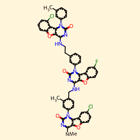 CNc1nc(=O)n(-c2ccc(CNc3nc(=O)n(-c4cccc(CCNc5nc(=O)n(-c6cccc(C)c6)c6c5oc5cccc(Cl)c56)c4)c4c3oc3ccc(F)cc34)c(C)c2)c2c1oc1ccc(Cl)cc12